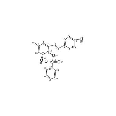 Cc1cc(C=Cc2ccc(Cl)cc2)n(OS(=O)(=O)c2ccccc2)c(=O)c1